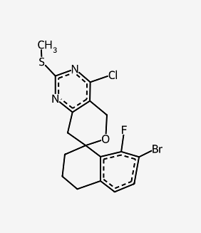 CSc1nc(Cl)c2c(n1)CC1(CCCc3ccc(Br)c(F)c31)OC2